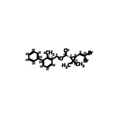 Cc1c(COC(=O)[C@@H]2[C@@H](C=C(Br)Br)C2(C)C)cccc1-c1ccccc1